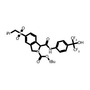 CC(C)CS(=O)(=O)c1ccc2c(c1)CN(C(=O)OC(C)(C)C)C2C(=O)Nc1ccc(C(O)(C(F)(F)F)C(F)(F)F)cc1